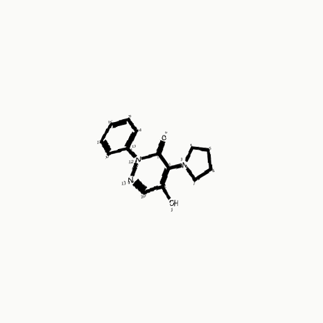 O=c1c(N2CCCC2)c(O)cnn1-c1ccccc1